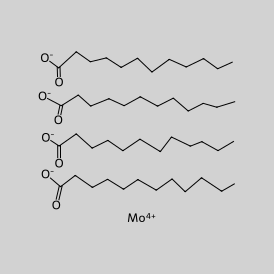 CCCCCCCCCCCC(=O)[O-].CCCCCCCCCCCC(=O)[O-].CCCCCCCCCCCC(=O)[O-].CCCCCCCCCCCC(=O)[O-].[Mo+4]